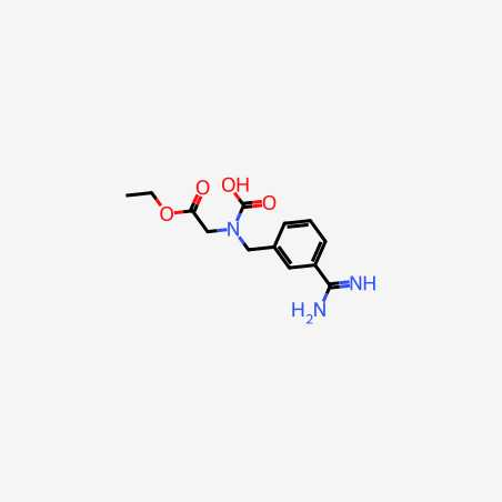 CCOC(=O)CN(Cc1cccc(C(=N)N)c1)C(=O)O